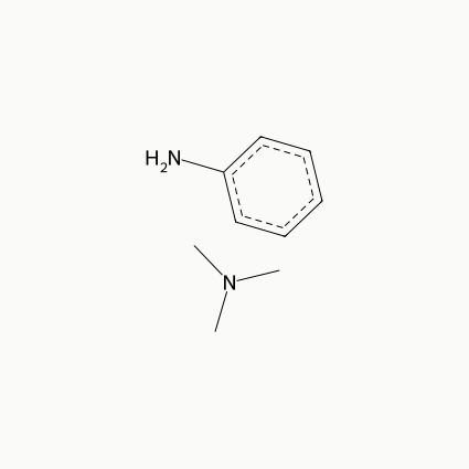 CN(C)C.Nc1ccccc1